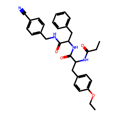 CCOc1ccc(CC(NC(=O)CC)C(=O)NC(Cc2ccccc2)C(=O)NCc2ccc(C#N)cc2)cc1